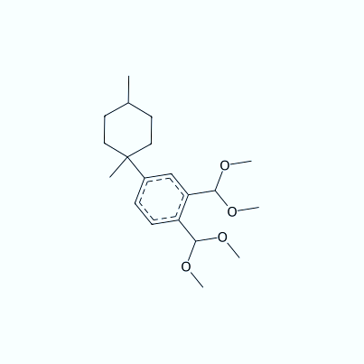 COC(OC)c1ccc(C2(C)CCC(C)CC2)cc1C(OC)OC